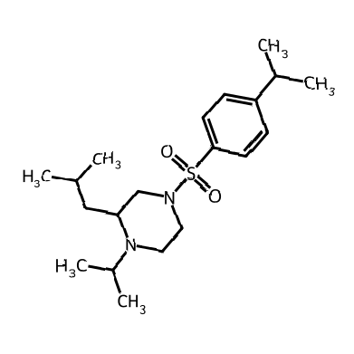 CC(C)CC1CN(S(=O)(=O)c2ccc(C(C)C)cc2)CCN1C(C)C